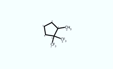 CC1CCCC1(C(F)(F)F)C(F)(F)F